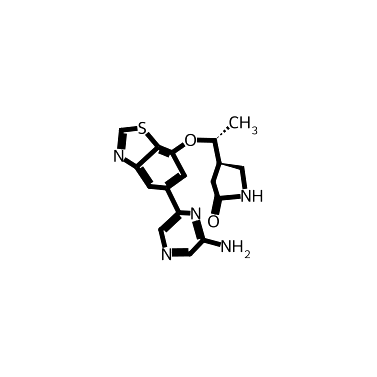 C[C@@H](Oc1cc(-c2cncc(N)n2)cc2ncsc12)[C@H]1CNC(=O)C1